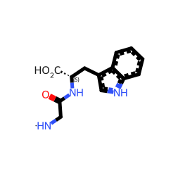 [NH]CC(=O)N[C@@H](Cc1c[nH]c2ccccc12)C(=O)O